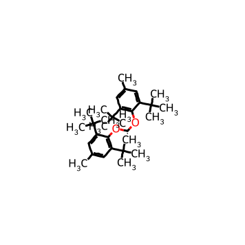 Cc1cc(C(C)(C)C)c(O[CH]Oc2c(C(C)(C)C)cc(C)cc2C(C)(C)C)c(C(C)(C)C)c1